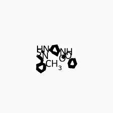 Cc1ccccc1-c1csc(Nc2ccc(NC(=O)Oc3ccccc3)cc2)n1